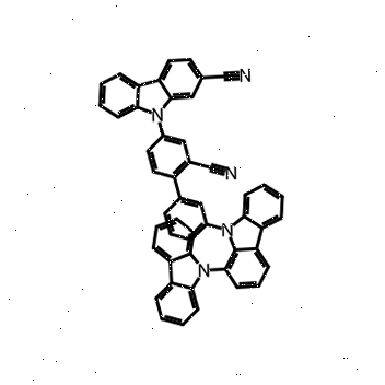 N#Cc1ccc2c3ccccc3n(-c3ccc(-c4cccc(-n5c6ccccc6c6cccc(-n7c8ccccc8c8ccccc87)c65)c4)c(C#N)c3)c2c1